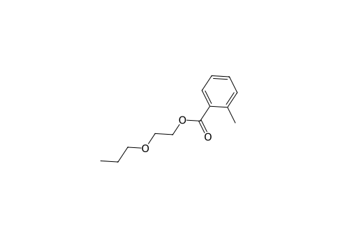 CCCOCCOC(=O)c1ccccc1C